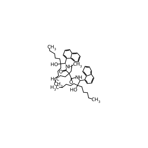 CCCCCC(O)(CCCCC)[C@@H](NC(=O)C(CCC)(CCC)C(=O)N[C@@H](c1cccc2ccccc12)C(O)(CCCCC)CCCCC)c1cccc2ccccc12